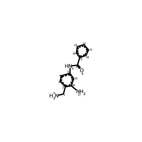 NCc1ccc(NC(=O)c2ccccc2)cc1N